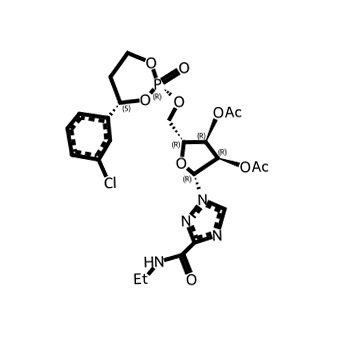 CCNC(=O)c1ncn([C@@H]2O[C@H](CO[P@@]3(=O)OCC[C@@H](c4cccc(Cl)c4)O3)[C@@H](OC(C)=O)[C@H]2OC(C)=O)n1